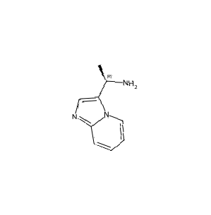 C[C@@H](N)c1cnc2ccccn12